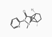 Cn1c2c(c(=O)n1-c1ccccn1)[C@H]1CC[C@]2(C)C1(C)C